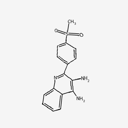 CS(=O)(=O)c1ccc(-c2nc3ccccc3c(N)c2N)cc1